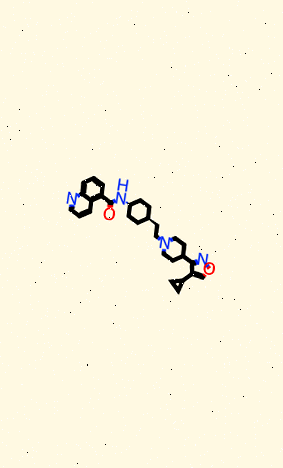 O=C(N[C@H]1CC[C@H](CCN2CCC(c3nocc3C3CC3)CC2)CC1)c1cccc2ncccc12